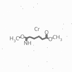 COC(=N)CCCCC(=O)OC.[Cr]